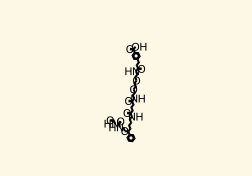 O=CNC(=O)NCOC(CCCCNC(=O)CCCC(=O)NCCOCCOCCNC(=O)CCc1ccc(C(=O)O)cc1)c1ccccc1